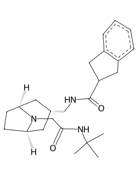 CC(C)(C)NC(=O)CN1[C@@H]2CC[C@H]1C[C@H](CNC(=O)C1Cc3ccccc3C1)C2